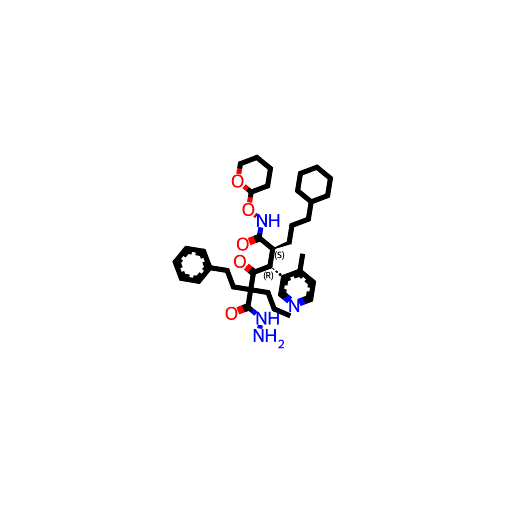 CCCC(CCc1ccccc1)(C(=O)NN)C(=O)[C@@H](c1cnccc1C)[C@H](CCCC1CCCCC1)C(=O)NOC1CCCCO1